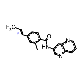 Cc1cc(/C=C/C(F)(F)F)ccc1C(=O)Nc1cnc2cccnc2c1